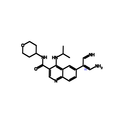 CC(C)Nc1c(C(=O)NC2CCOCC2)cnc2ccc(/C(C=N)=C/N)cc12